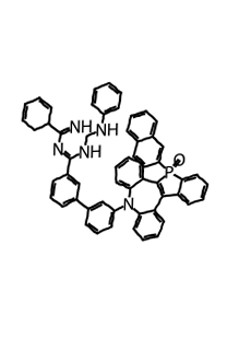 N=C(/N=C(\NCNc1ccccc1)c1cccc(-c2cccc(N3c4ccccc4C4=C(c5ccccc53)P(=O)(c3ccc5ccccc5c3)c3ccccc34)c2)c1)C1C=CC=CC1